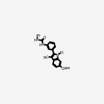 CCn1c(-c2cccc(NC(=O)NC(C)C)c2)c(C#N)c2ccc(OC)cc21